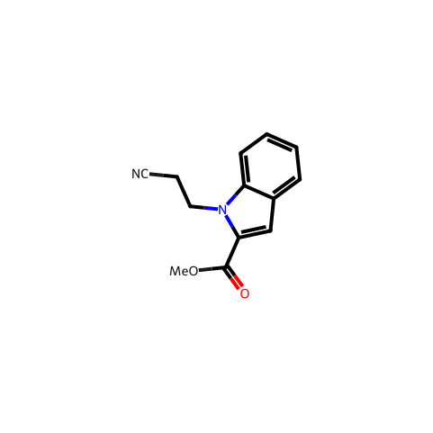 COC(=O)c1cc2ccccc2n1CCC#N